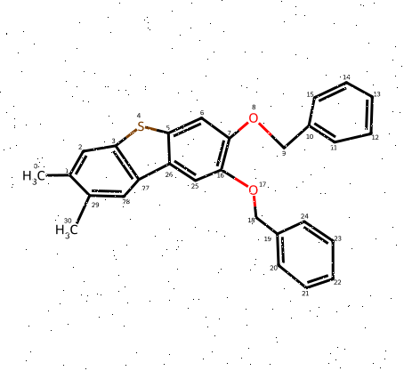 Cc1cc2sc3cc(OCc4ccccc4)c(OCc4ccccc4)cc3c2cc1C